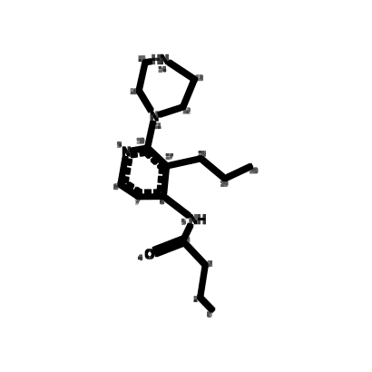 CCCC(=O)Nc1ccnc(N2CCNCC2)c1CCC